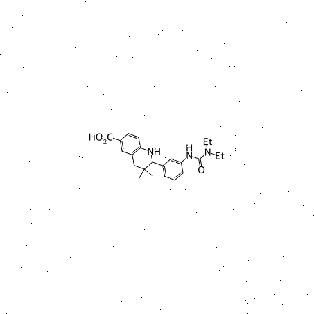 CCN(CC)C(=O)Nc1cccc(C2Nc3ccc(C(=O)O)cc3CC2(C)C)c1